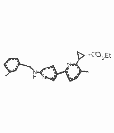 CCOC(=O)[C@H]1C[C@@H]1c1nc(-c2ccc(NCc3cccc(C)c3)nc2)ccc1C